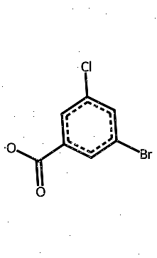 [O]C(=O)c1cc(Cl)cc(Br)c1